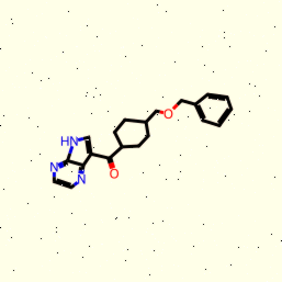 O=C(c1c[nH]c2nccnc12)C1CCC(COCc2ccccc2)CC1